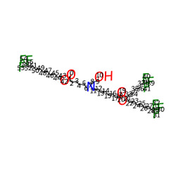 O=C(CCCCCN(CCO)CCCCCCCC(=O)OC(CCCCCCCC(F)(F)F)CCCCCC(F)(F)F)OCCCCCCCCCCC(F)(F)F